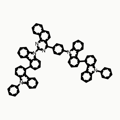 c1ccc(-n2c3ccccc3c3c(-c4cccc5c4c4ccccc4n5-c4ccc(-c5nc(-n6c7ccccc7c7c(-c8cccc9c8c8ccccc8n9-c8ccccc8)cccc76)nc6c5ccc5ccccc56)cc4)cccc32)cc1